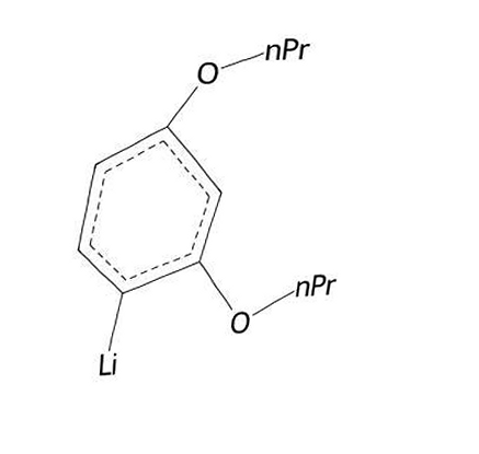 [Li][c]1ccc(OCCC)cc1OCCC